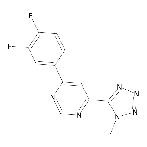 Cn1nnnc1-c1cc(-c2ccc(F)c(F)c2)ncn1